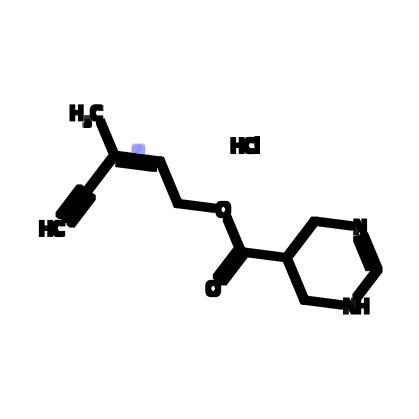 C#C/C(C)=C\COC(=O)C1CN=CNC1.Cl